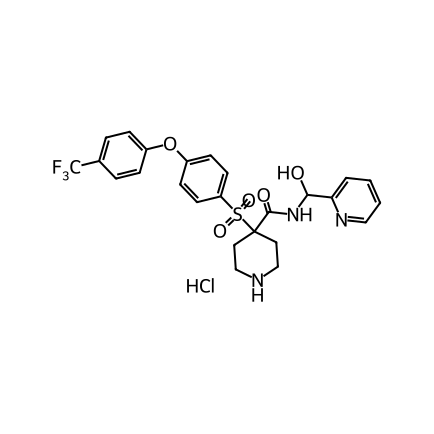 Cl.O=C(NC(O)c1ccccn1)C1(S(=O)(=O)c2ccc(Oc3ccc(C(F)(F)F)cc3)cc2)CCNCC1